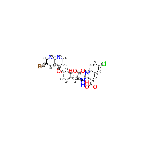 O=C(O)c1cc2cc(Cl)ccc2nc1N[C@@H](Cc1ccc(Oc2ccnc3ncc(Br)cc23)cc1)C(=O)O